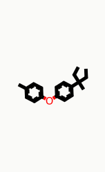 CCC(C)(CC)c1ccc(Oc2ccc(C)cc2)cc1